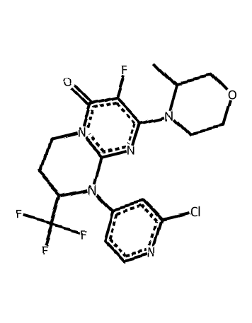 CC1COCCN1c1nc2n(c(=O)c1F)CCC(C(F)(F)F)N2c1ccnc(Cl)c1